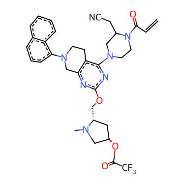 C=CC(=O)N1CCN(c2nc(OC[C@@H]3C[C@@H](OC(=O)C(F)(F)F)CN3C)nc3c2CCN(c2cccc4ccccc24)C3)CC1CC#N